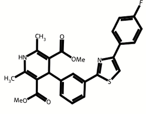 COC(=O)C1=C(C)NC(C)=C(C(=O)OC)C1c1cccc(-c2nc(-c3ccc(F)cc3)cs2)c1